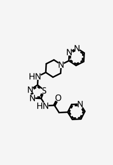 O=C(Cc1cccnc1)Nc1nnc(NC2CCN(c3cccnn3)CC2)s1